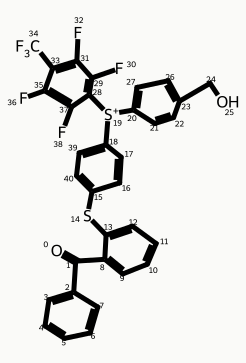 O=C(c1ccccc1)c1ccccc1Sc1ccc([S+](c2ccc(CO)cc2)c2c(F)c(F)c(C(F)(F)F)c(F)c2F)cc1